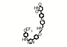 O=C1CCC(c2ccc(N3CCC(CNCCOc4ccc(-c5cc(Nc6ccc(OC(F)(F)F)cc6)ncn5)cc4)CC3)cc2)C(=O)N1